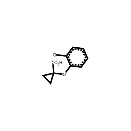 O=C(O)C1(Oc2ccccc2Cl)CC1